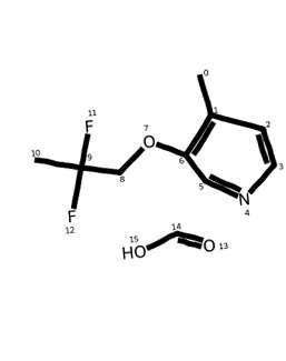 Cc1ccncc1OCC(C)(F)F.O=CO